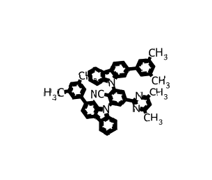 Cc1cc(C)cc(-c2ccc3c4ccccc4n(-c4cc(-c5nc(C)cc(C)n5)cc(-n5c6ccccc6c6ccc(-c7cc(C)cc(C)c7)cc65)c4C#N)c3c2)c1